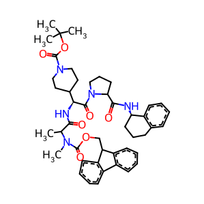 CC(C(=O)N[C@H](C(=O)N1CCCC1C(=O)N[C@@H]1CCCc2ccccc21)C1CCN(C(=O)OC(C)(C)C)CC1)N(C)C(=O)OCC1c2ccccc2-c2ccccc21